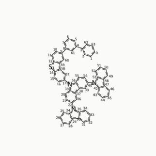 c1ccc(-c2cccc(-c3ccc4sc5ccc(-n6c7ccc(-n8c9ccccc9c9ccccc98)cc7c7cc(-n8c9ccccc9c9ccccc98)ccc76)cc5c4c3)c2)cc1